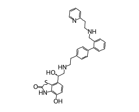 O=c1[nH]c2c(O)ccc([C@@H](O)CNCCc3ccc(-c4ccccc4CNCCc4ccccn4)cc3)c2s1